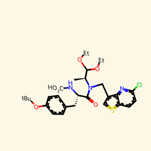 CCOC(OCC)[C@H](C)N(Cc1csc2ccc(Cl)nc12)C(=O)[C@H](Cc1ccc(OC(C)(C)C)cc1)NC(=O)O